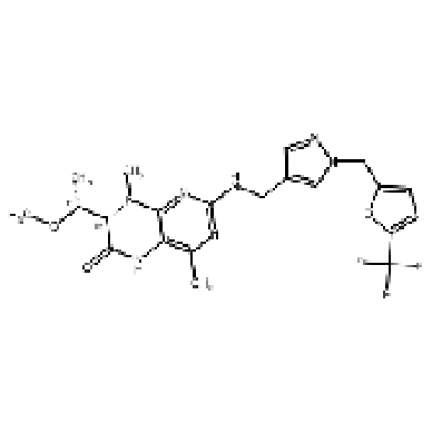 CO[C@H](C)[C@H]1C(=O)Nc2c(C)nc(NCc3cnn(Cc4ccc(C(F)(F)F)o4)c3)nc2N1C